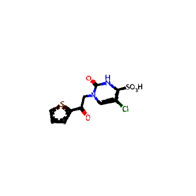 O=C(CN1C=C(Cl)C(S(=O)(=O)O)NC1=O)c1cccs1